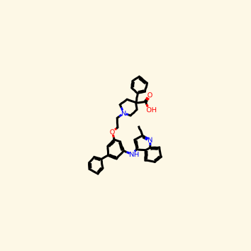 Cc1cc(Nc2cc(OCCN3CCC(C(=O)O)(c4ccccc4)CC3)cc(-c3ccccc3)c2)c2ccccc2n1